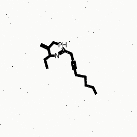 C=C1CPC(CC#CCCCCC)=NC1CC